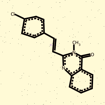 Cn1c(/C=C/c2ccc(Cl)cc2)nc2ccccc2c1=O